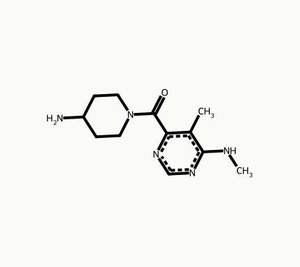 CNc1ncnc(C(=O)N2CCC(N)CC2)c1C